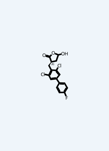 O=C1OC(O)C[C@H]1Cc1c(Cl)cc(-c2ccc(F)cc2)cc1Cl